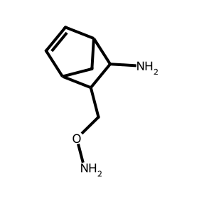 NOCC1C2C=CC(C2)C1N